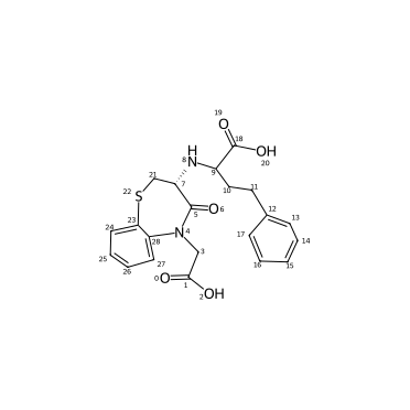 O=C(O)CN1C(=O)[C@@H](NC(CCc2ccccc2)C(=O)O)CSc2ccccc21